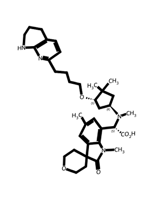 Cc1cc([C@@H](C(=O)O)N(C)[C@H]2C[C@H](OCCCCc3ccc4c(n3)NCCC4)C(C)(C)C2)c2c(c1)C1(CCOCC1)C(=O)N2C